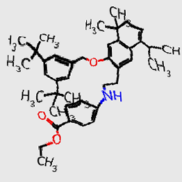 CCOC(=O)c1ccc(NCCc2cc3c(cc2OCc2cc(C(C)(C)C)cc(C(C)(C)C)c2)C(C)(C)CC=C3C(C)C)cc1